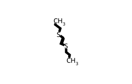 CCCS/C=C/SCCC